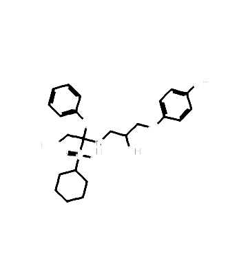 CCC(NCC(O)COc1ccc(O)cc1)(Oc1ccccc1)P(=O)(O)C1CCCCC1